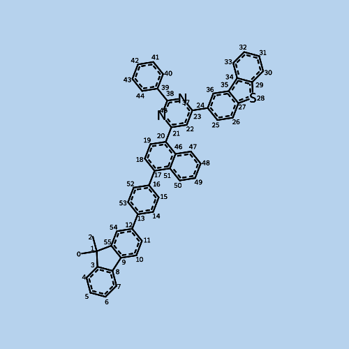 CC1(C)c2ccccc2-c2ccc(-c3ccc(-c4ccc(-c5cc(-c6ccc7sc8ccccc8c7c6)nc(-c6ccccc6)n5)c5ccccc45)cc3)cc21